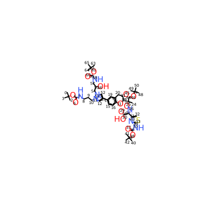 CC(C)(C)OC(=O)NCCC[n+]1cc(-c2ccc3c(c2)CC[C@H](C(C)(O/N=C(\C(=O)O)c2csc(NC(=O)OC(C)(C)C)n2)C(=O)OC(C)(C)C)O3)cn1CC(O)CNC(=O)OC(C)(C)C